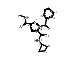 CNC(=O)c1cc(C(=O)NC2CCC2)n(C(C)c2ccccc2)n1